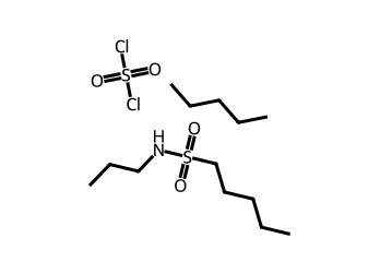 CCCCC.CCCCCS(=O)(=O)NCCC.O=S(=O)(Cl)Cl